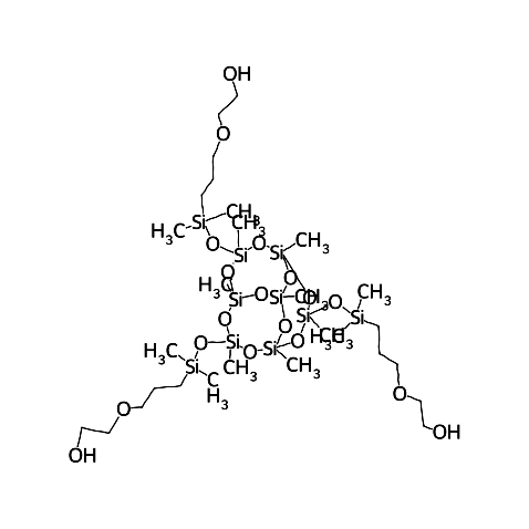 C[Si](C)(CCCOCCO)O[Si]1(C)O[Si]2(C)O[Si](C)(O[Si](C)(C)CCCOCCO)O[Si]3(C)O[Si](C)(O[Si](C)(C)CCCOCCO)O[Si](C)(O1)O[Si](C)(O2)O3